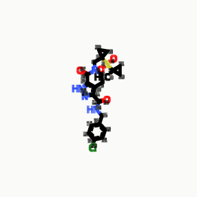 CC1(S(=O)(=O)C2(CN3CCc4c(C(=O)NCc5ccc(Cl)cc5)n[nH]c4C3=O)CC2)CC1